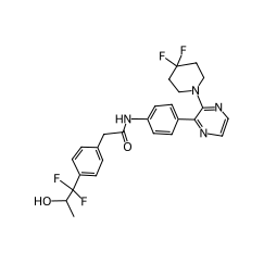 CC(O)C(F)(F)c1ccc(CC(=O)Nc2ccc(-c3nccnc3N3CCC(F)(F)CC3)cc2)cc1